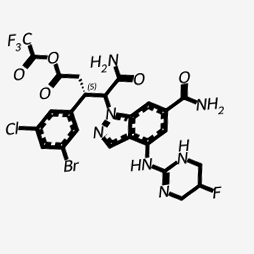 NC(=O)c1cc(NC2=NCC(F)CN2)c2cnn(C(C(N)=O)[C@@H](CC(=O)OC(=O)C(F)(F)F)c3cc(Cl)cc(Br)c3)c2c1